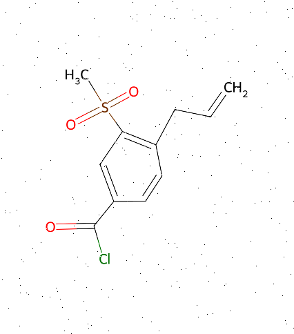 C=CCc1ccc(C(=O)Cl)cc1S(C)(=O)=O